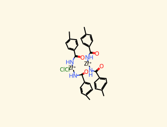 Cc1ccc(C(=O)[NH][Zr+][NH]C(=O)c2ccc(C)cc2)cc1.Cc1ccc(C(=O)[NH][Zr+][NH]C(=O)c2ccc(C)cc2)cc1.[Cl-].[Cl-]